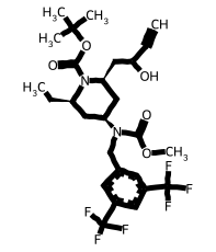 C#CC(O)C[C@H]1C[C@@H](N(Cc2cc(C(F)(F)F)cc(C(F)(F)F)c2)C(=O)OC)C[C@@H](CC)N1C(=O)OC(C)(C)C